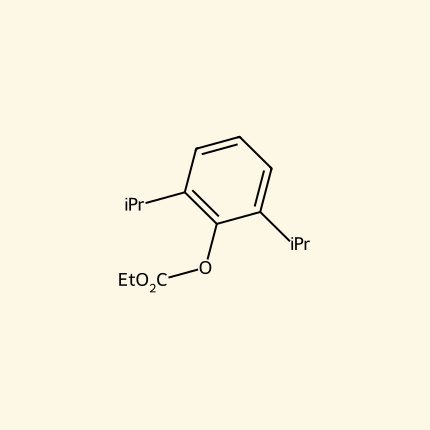 [CH2]COC(=O)Oc1c(C(C)C)cccc1C(C)C